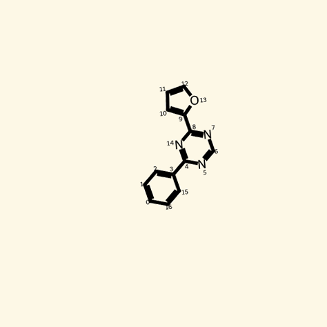 c1ccc(-c2ncnc(-c3ccco3)n2)cc1